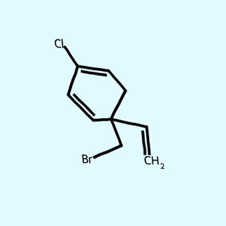 C=CC1(CBr)C=CC(Cl)=CC1